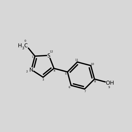 Cc1ncc(-c2ccc(O)cc2)s1